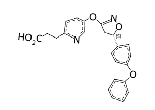 O=C(O)CCc1ccc(OC2=NO[C@H](c3ccc(Oc4ccccc4)cc3)C2)cn1